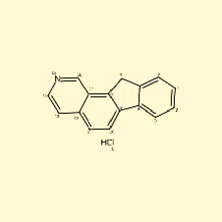 Cl.c1ccc2c(c1)Cc1c-2ccc2ccncc12